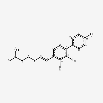 CC(O)CCCC=Cc1ccc(-c2ccc(O)cn2)c(F)c1F